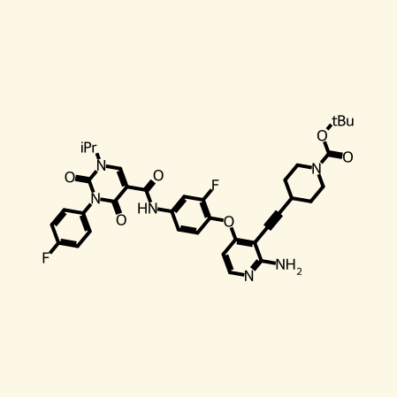 CC(C)n1cc(C(=O)Nc2ccc(Oc3ccnc(N)c3C#CC3CCN(C(=O)OC(C)(C)C)CC3)c(F)c2)c(=O)n(-c2ccc(F)cc2)c1=O